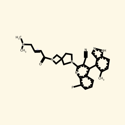 Cc1ccc2[nH]ncc2c1-c1c(C#N)c(N2CCC3(CN(C(=O)/C=C/CN(C)C)C3)C2)nc2c(F)cccc12